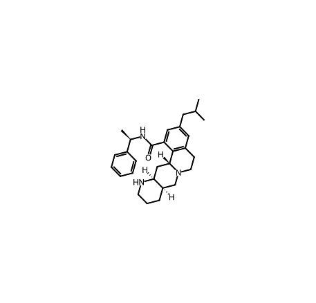 CC(C)Cc1cc2c(c(C(=O)N[C@H](C)c3ccccc3)c1)[C@H]1C[C@@H]3NCCC[C@@H]3CN1CC2